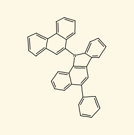 c1ccc(-c2cc3c4ccccc4n(-c4cc5ccccc5c5ccccc45)c3c3ccccc23)cc1